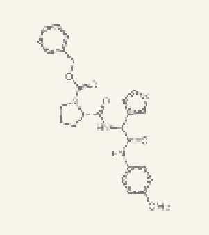 COc1ccc(NC(=O)[C@@H](NC(=O)[C@@H]2CCCN2C(=O)OCc2ccccc2)c2ccsc2)cc1